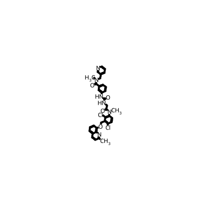 Cc1ccc2cccc(OCc3c(Cl)ccc(N(C)C(=O)CNC(=O)Nc4cccc(C(=O)N(C)Cc5cccnc5)c4)c3Cl)c2n1